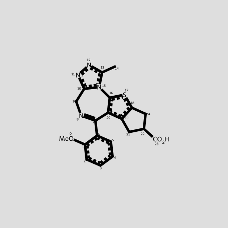 COc1ccccc1C1=NCc2nnc(C)n2-c2sc3c(c21)CC(C(=O)O)C3